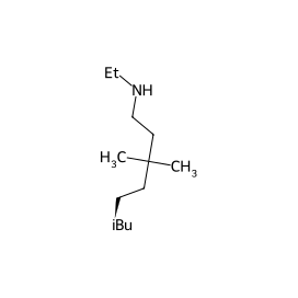 CCNCCC(C)(C)CC[C@H](C)CC